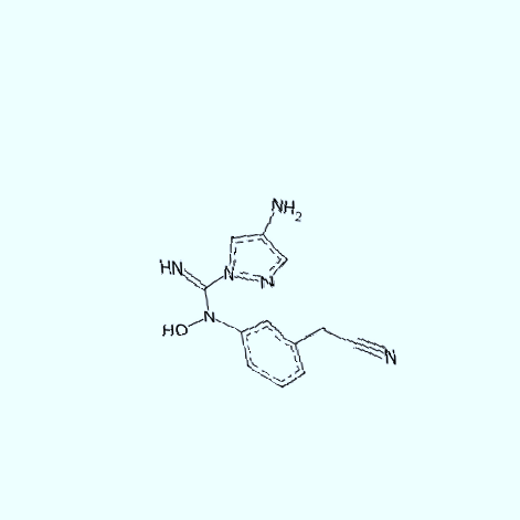 N#CCc1cccc(N(O)C(=N)n2cc(N)cn2)c1